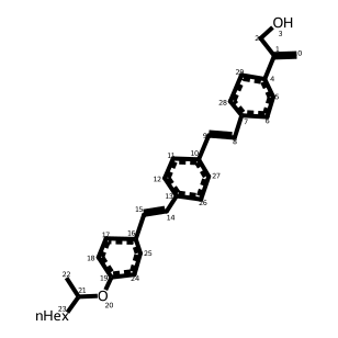 C=C(CO)c1ccc(C=Cc2ccc(C=Cc3ccc(OC(C)CCCCCC)cc3)cc2)cc1